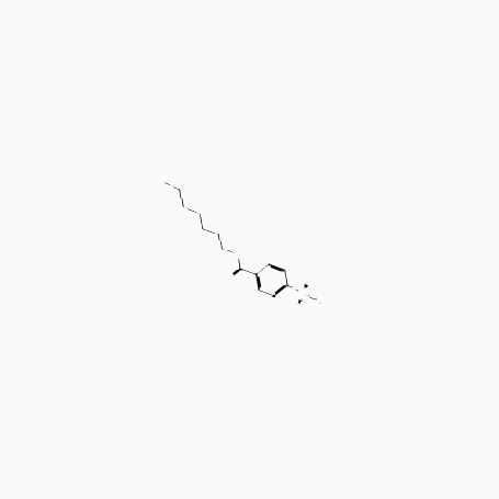 CCCCCCCOC(=O)c1ccc(S(N)(=O)=O)cc1